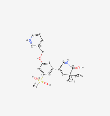 CC1(C)C=C(c2cc(OCc3cccnc3)cc(S(C)(=O)=O)c2)C=NC1=O